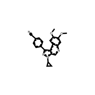 COc1cc2ncc3c(c(-c4ccc(C#N)cc4)nn3C3CC3)c2cc1OC